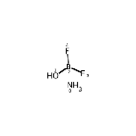 N.OB(F)F